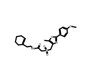 COc1ccc(-c2nc(CS(=O)(=O)CC(=O)NCCC3=CCCCC3)c(C)o2)cc1